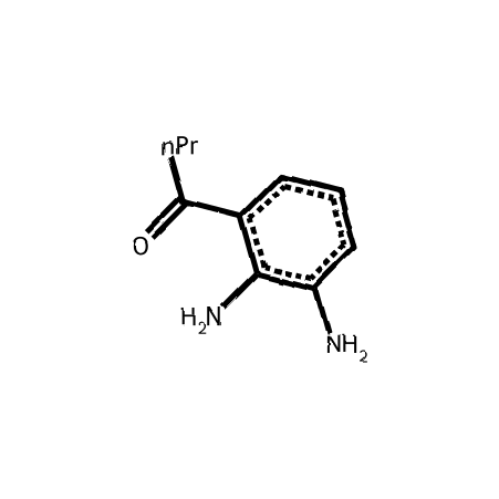 CCCC(=O)c1cccc(N)c1N